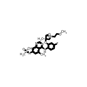 COCCNC[C@](C)(C=O)Oc1cc(F)ccc1Nc1ncnc2cc(N=S(C)(C)=O)cc(C)c12